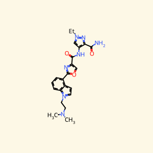 CCn1cc(NC(=O)c2coc(-c3cccc4c3ccn4CCN(C)C)n2)c(C(N)=O)n1